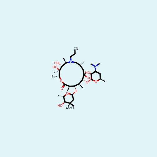 CC[C@H]1OC(=O)[C@H](C)[C@@H](O[C@H]2C[C@@](C)(OC)[C@@H](O)[C@H](C)O2)[C@H](C)[C@@H](O[C@@H]2O[C@H](C)C[C@H](N(C)C)[C@H]2O)C(C)(O)C[C@@H](C)CN(CCC#N)[C@H](C)[C@@H](O)[C@]1(C)O